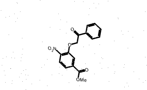 COC(=O)c1ccc([N+](=O)[O-])c(OCC(=O)c2ccccc2)c1